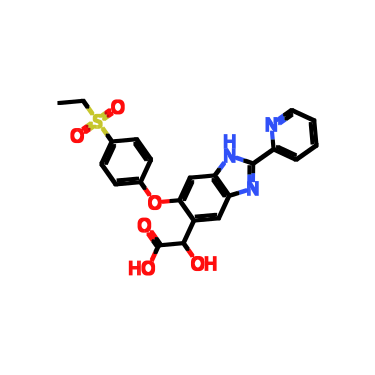 CCS(=O)(=O)c1ccc(Oc2cc3[nH]c(-c4ccccn4)nc3cc2C(O)C(=O)O)cc1